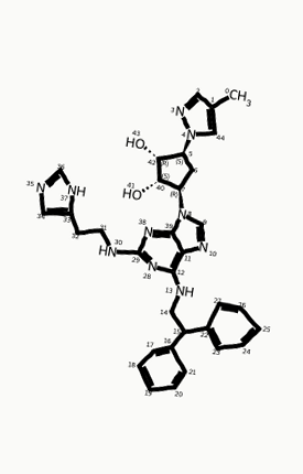 Cc1cnn([C@H]2C[C@@H](n3cnc4c(NCC(c5ccccc5)c5ccccc5)nc(NCCc5cnc[nH]5)nc43)[C@H](O)[C@@H]2O)c1